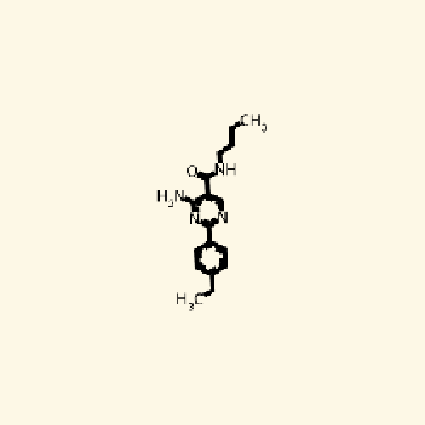 CCCCNC(=O)c1cnc(-c2ccc(CC)cc2)nc1N